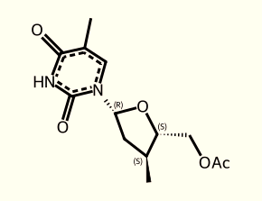 CC(=O)OC[C@H]1O[C@@H](n2cc(C)c(=O)[nH]c2=O)C[C@@H]1C